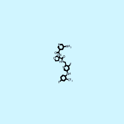 Nc1cncc(C(=O)NC2(C(=O)NCc3ncc(Nc4ccc(F)cc4C(F)(F)F)cc3F)CCOC2)c1